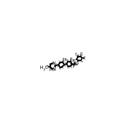 Cc1cnc(-c2ccc(-c3ccc(C(F)(F)Oc4cc(F)c(F)c(F)c4)c(F)c3F)c(F)c2)nc1